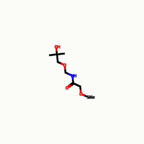 CSOCC(=O)NCOCC(C)(C)O